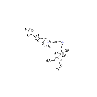 C/C=C/[C@@H](OCOC)C(C)(C)[C@@H](O)C/C=C\C#C/C=C/[C@@H](Cc1nc(C(=O)OC)co1)OC